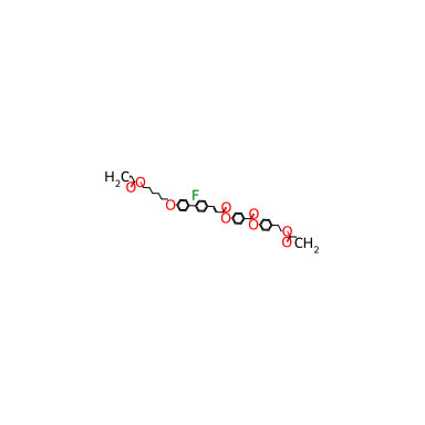 C=CC(=O)OCCCCCCOc1ccc(-c2ccc(/C=C/C(=O)Oc3ccc(C(=O)Oc4ccc(CCOC(=O)C=C)cc4)cc3)cc2F)cc1